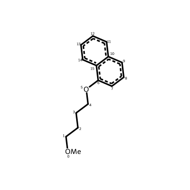 COCCCCOc1cccc2ccccc12